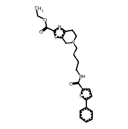 CCOC(=O)c1nc2c(s1)CN(CCCCNC(=O)c1ccc(-c3ccccc3)s1)CC2